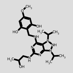 COc1cc(O)c(CNc2nc(NCC(C)O)nc3c2N(C(C)C)NN3C(C)C)c(O)c1